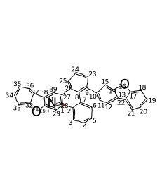 N#Cc1ccccc1-c1c(-c2ccc3c(c2)oc2ccccc23)cccc1-c1ccc2oc3ccccc3c2c1